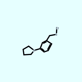 CCSCc1cccc(N2CCCC2)c1